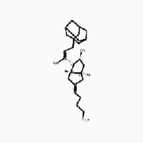 CC(=O)OC(=CCC12CC3CC(CC(C3)C1)C2)[C@H]1[C@@H]2C/C(=C/CCCC(=O)O)C[C@@H]2C[C@@H]1OC(C)=O